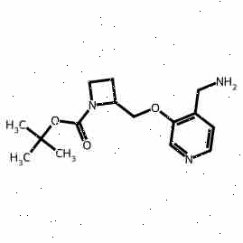 CC(C)(C)OC(=O)N1CCC1COc1cnccc1CN